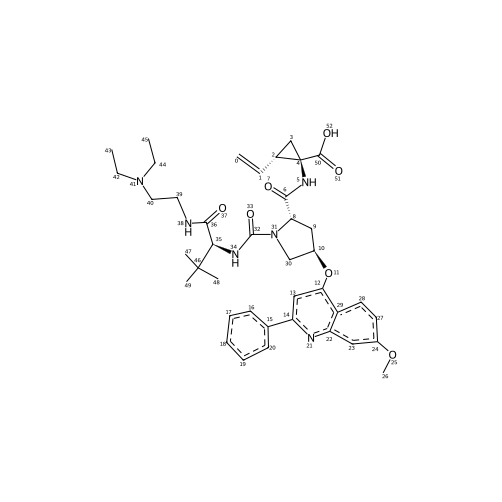 C=C[C@@H]1C[C@]1(NC(=O)[C@@H]1C[C@@H](Oc2cc(-c3ccccc3)nc3cc(OC)ccc23)CN1C(=O)N[C@H](C(=O)NCCN(CC)CC)C(C)(C)C)C(=O)O